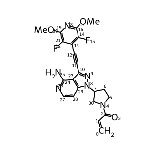 C=CC(=O)N1CCC(n2nc(C#Cc3c(F)c(OC)nc(OC)c3F)c3c(N)nccc32)C1